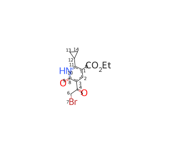 CCOC(=O)c1cc(C(=O)CBr)c(=O)[nH]c1C1CC1